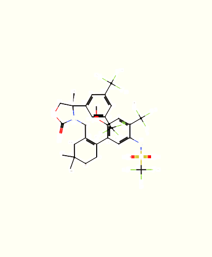 COc1cc(C(F)(F)F)c(NS(=O)(=O)C(F)(F)F)cc1C1=C(CN2C(=O)OC[C@]2(C)c2cc(C(F)(F)F)cc(C(F)(F)F)c2)CC(C)(C)CC1